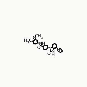 COc1cc(NC(=O)C2CCC(n3c(=O)[nH]c4c(N5CCCC5)cccc43)CC2)ccc1C